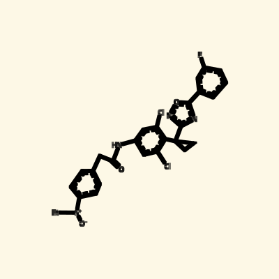 CC[S+]([O-])c1ccc(CC(=O)Nc2cc(Cl)c(C3(c4noc(-c5cccc(F)c5)n4)CC3)c(Cl)c2)cc1